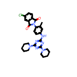 Cc1cc(Nc2nc(N3CCCCC3)nc(N3CCCCC3)n2)ccc1N1C(=O)c2ccc(Cl)cc2C1=O